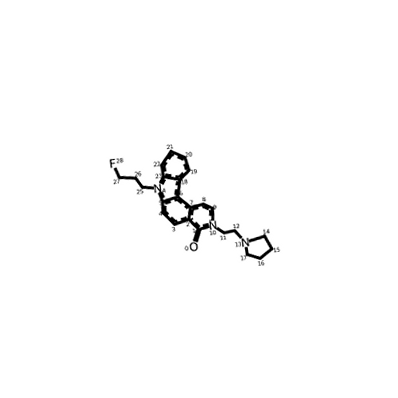 O=c1c2ccc3c(c2ccn1CCN1CCCC1)c1ccccc1n3CCCF